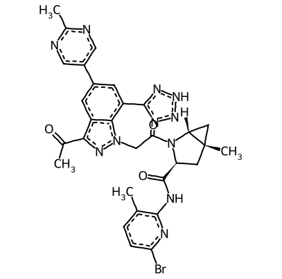 CC(=O)c1nn(CC(=O)N2[C@H](C(=O)Nc3nc(Br)ccc3C)C[C@@]3(C)C[C@@H]23)c2c(-c3nn[nH]n3)cc(-c3cnc(C)nc3)cc12